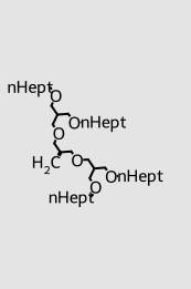 C=C(COCC(COCCCCCCC)COCCCCCCC)COCC(COCCCCCCC)COCCCCCCC